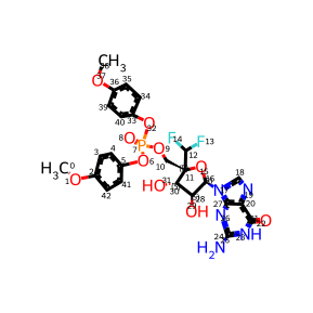 COc1ccc(OP(=O)(OC[C@@]2(C(F)F)O[C@@H](n3cnc4c(=O)[nH]c(N)nc43)[C@@H](O)[C@@H]2O)Oc2ccc(OC)cc2)cc1